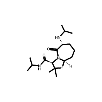 CC(C)NC(=O)[C@H]1N2C(=O)[C@H](NC(C)C)CCC[C@H]2SC1(C)C